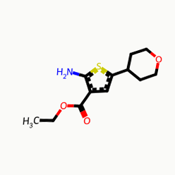 CCOC(=O)c1cc(C2CCOCC2)sc1N